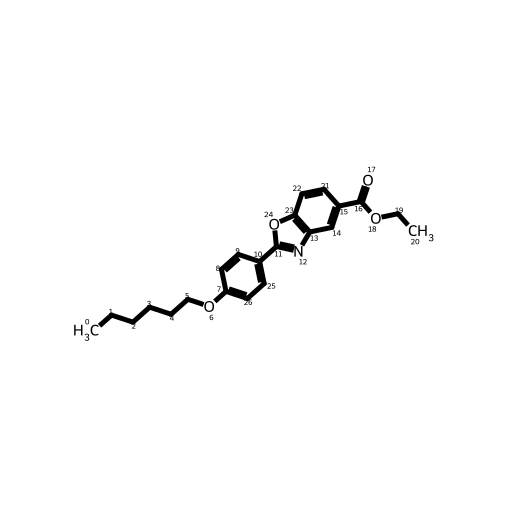 CCCCCCOc1ccc(-c2nc3cc(C(=O)OCC)ccc3o2)cc1